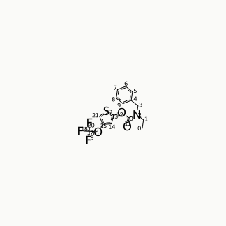 CCN(Cc1ccccc1)C(=O)Oc1cc(OC(F)(F)F)cs1